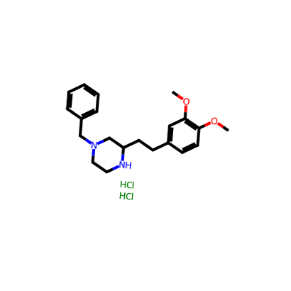 COc1ccc(CCC2CN(Cc3ccccc3)CCN2)cc1OC.Cl.Cl